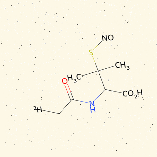 [2H]CC(=O)NC(C(=O)O)C(C)(C)SN=O